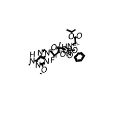 CNc1nc(OC)nc2c1ncn2[C@@H]1O[C@](C)(CO[P@@](=O)(N[C@@H](C)C(=O)OC(C)C)Oc2ccccc2)[C@@H](O)[C@H]1F